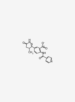 CC1CC(=O)NN=C1c1ccc(NC(=O)c2ccncc2)c([N+](=O)[O-])c1